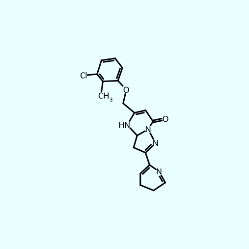 Cc1c(Cl)cccc1OCC1=CC(=O)N2N=C(C3=CCCC=N3)CC2N1